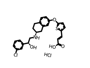 Cl.O=C(O)C=Cc1ccc(Oc2ccc3c(c2)C[C@@H](NC[C@@H](O)c2cccc(Cl)c2)CC3)s1